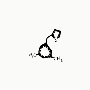 Cc1cc(C)cc(Cc2cccs2)c1